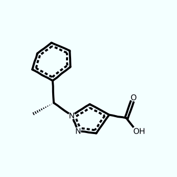 C[C@H](c1ccccc1)n1cc(C(=O)O)cn1